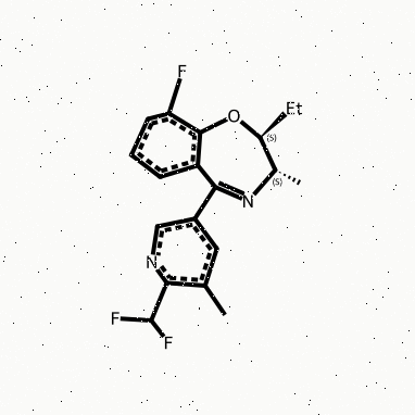 CC[C@@H]1Oc2c(F)cccc2C(c2cnc(C(F)F)c(C)c2)=N[C@H]1C